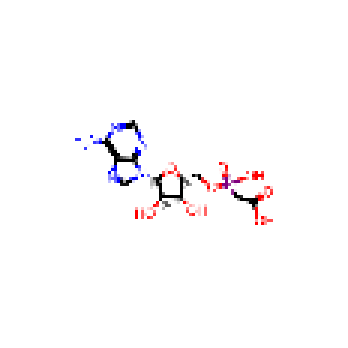 Nc1ncnc2c1ncn2[C@@H]1O[C@H](COP(=O)(O)CC(=O)O)[C@@H](O)[C@H]1O